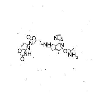 Cc1c(OCC2(N)CC2)nc(-c2nccs2)c2c1CC(CNCCC1CN(c3ccc4c(n3)NC(=O)CO4)C(=O)O1)C2